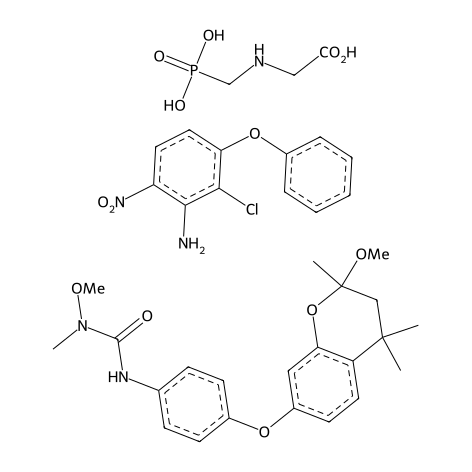 CON(C)C(=O)Nc1ccc(Oc2ccc3c(c2)OC(C)(OC)CC3(C)C)cc1.Nc1c([N+](=O)[O-])ccc(Oc2ccccc2)c1Cl.O=C(O)CNCP(=O)(O)O